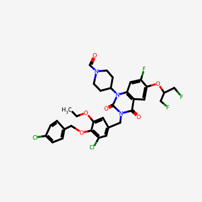 CCOc1cc(Cn2c(=O)c3cc(OC(CF)CF)c(F)cc3n(C3CCN(C=O)CC3)c2=O)cc(Cl)c1OCc1ccc(Cl)cc1